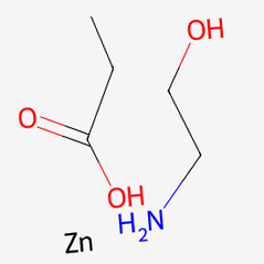 CCC(=O)O.NCCO.[Zn]